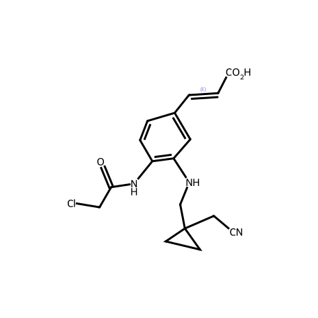 N#CCC1(CNc2cc(/C=C/C(=O)O)ccc2NC(=O)CCl)CC1